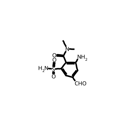 CN(C)C(=O)c1c(N)cc(C=O)cc1S(N)(=O)=O